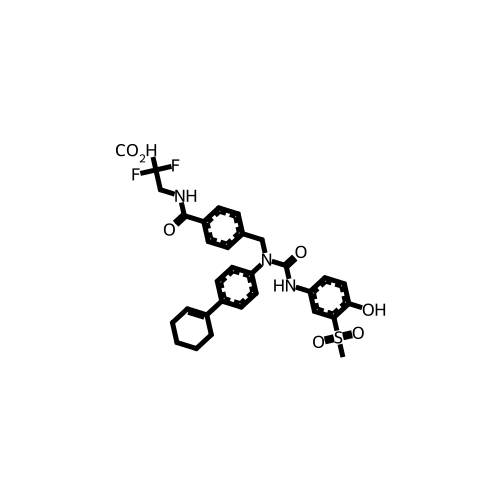 CS(=O)(=O)c1cc(NC(=O)N(Cc2ccc(C(=O)NCC(F)(F)C(=O)O)cc2)c2ccc(C3=CCCCC3)cc2)ccc1O